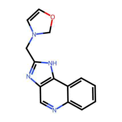 C1=CN(Cc2nc3cnc4ccccc4c3[nH]2)CO1